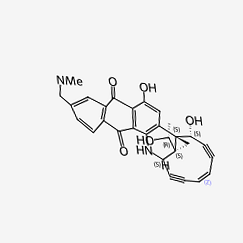 CNCc1ccc2c(c1)C(=O)c1c(O)cc3c(c1C2=O)N[C@H]1C#C/C=C\C#C[C@@H](O)[C@@]32C[C@@]12[C@@H](C)O